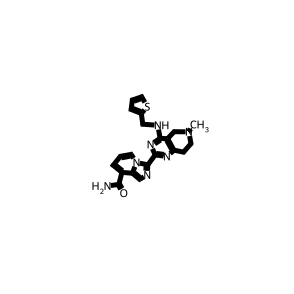 CN1CCc2nc(-c3ncc4c(C(N)=O)cccn34)nc(NCc3cccs3)c2C1